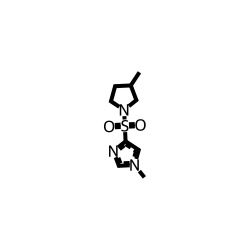 CC1CCN(S(=O)(=O)c2cn(C)cn2)C1